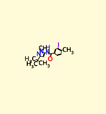 Cc1ccc(C(=O)Nc2cc(C(C)(C)C)nn2C)cc1I